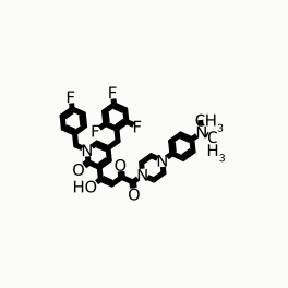 CN(C)c1ccc(N2CCN(C(=O)C(=O)/C=C(/O)c3cc(Cc4c(F)cc(F)cc4F)cn(Cc4ccc(F)cc4)c3=O)CC2)cc1